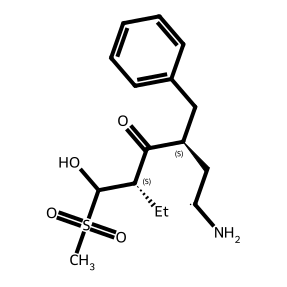 CC[C@@H](C(=O)[C@H](C[CH]N)Cc1ccccc1)C(O)S(C)(=O)=O